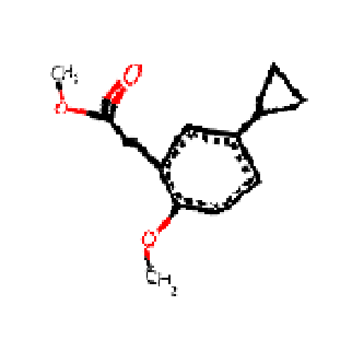 COC(=O)Cc1cc(C2CC2)ccc1OC